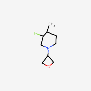 CC1CCN(C2COC2)CC1F